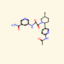 CC(=O)Nc1ccc(C2CC[C@H](C)CN2C(=O)C(=O)Nc2cncc(C(N)=O)c2)cn1